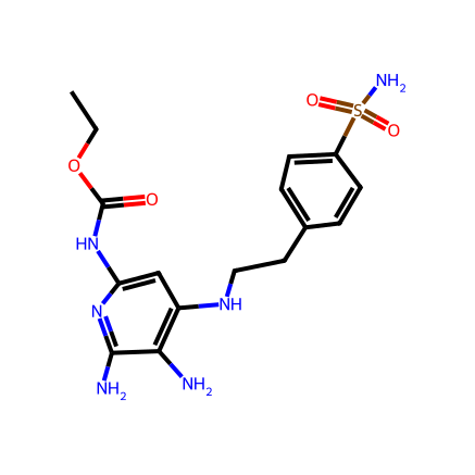 CCOC(=O)Nc1cc(NCCc2ccc(S(N)(=O)=O)cc2)c(N)c(N)n1